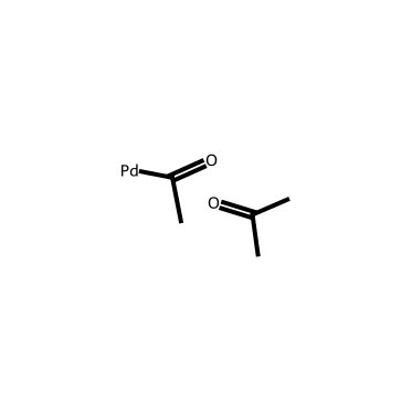 CC(C)=O.C[C](=O)[Pd]